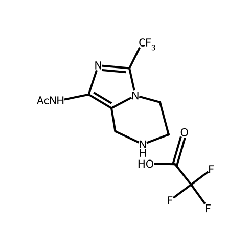 CC(=O)Nc1nc(C(F)(F)F)n2c1CNCC2.O=C(O)C(F)(F)F